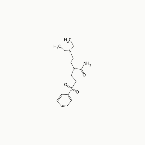 CCN(CC)CCN(CCS(=O)(=O)c1ccccc1)C(N)=O